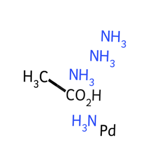 CC(=O)O.N.N.N.N.[Pd]